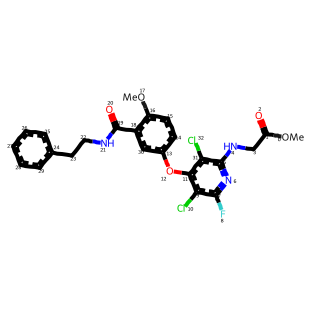 COC(=O)CNc1nc(F)c(Cl)c(Oc2ccc(OC)c(C(=O)NCCc3ccccc3)c2)c1Cl